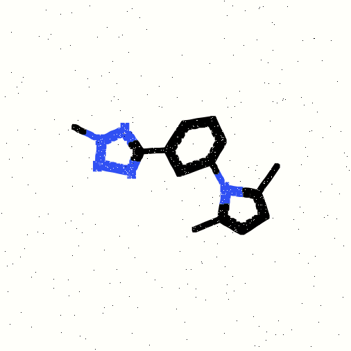 Cc1ccc(C)n1-c1cccc(-c2nnn(C)n2)c1